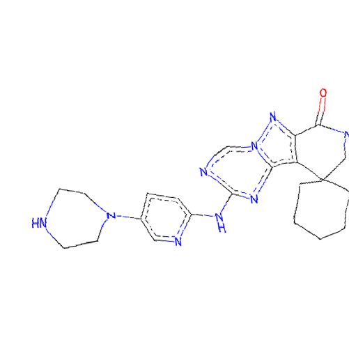 O=C1NCC2(CCCCC2)c2c1nn1cnc(Nc3ccc(N4CCNCC4)cn3)nc21